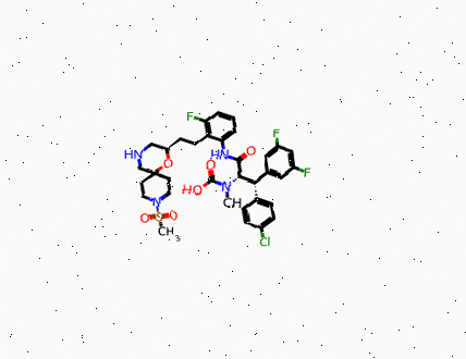 CN(C(=O)O)[C@H](C(=O)Nc1cccc(F)c1CC[C@@H]1CNCC2(CCN(S(C)(=O)=O)CC2)O1)[C@@H](c1ccc(Cl)cc1)c1cc(F)cc(F)c1